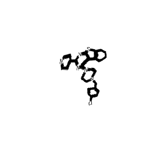 Clc1ccc(CN2CCN(c3nc(-c4ccncc4)nc4sc5c(c34)CCCC5)CC2)cc1